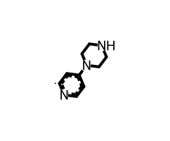 [c]1cc(N2CCNCC2)ccn1